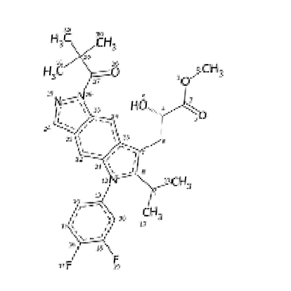 COC(=O)[C@@H](O)Cc1c(C(C)C)n(-c2ccc(F)c(F)c2)c2cc3cnn(C(=O)C(C)(C)C)c3cc12